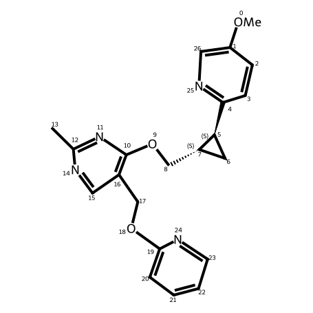 COc1ccc([C@H]2C[C@@H]2COc2nc(C)ncc2COc2ccccn2)nc1